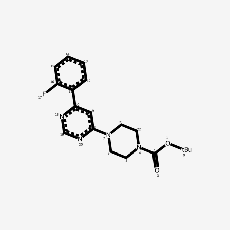 CC(C)(C)OC(=O)N1CCN(c2cc(-c3ccccc3F)ncn2)CC1